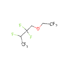 FC(C(F)(F)F)C(F)(F)COCC(F)(F)F